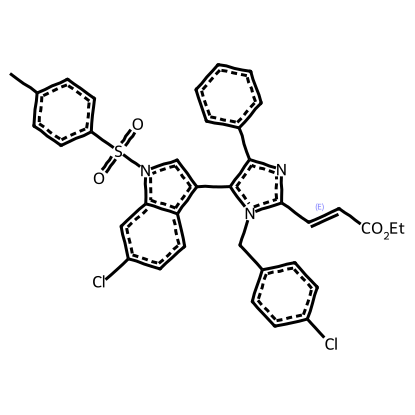 CCOC(=O)/C=C/c1nc(-c2ccccc2)c(-c2cn(S(=O)(=O)c3ccc(C)cc3)c3cc(Cl)ccc23)n1Cc1ccc(Cl)cc1